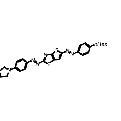 CCCCCCc1ccc(N=Nc2cc3sc(N=Nc4ccc(N5CCCC5)cc4)nc3s2)cc1